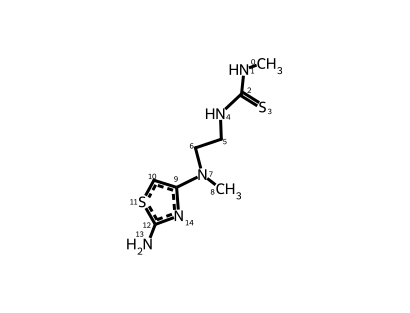 CNC(=S)NCCN(C)c1csc(N)n1